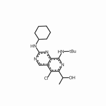 CC(O)c1nc(NC(C)(C)C)c2nc(NC3CCCCC3)ncc2c1Cl